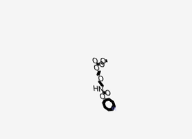 COOC(=O)OCCOCCNC(=O)OC1CC/C=C\CCC1